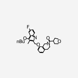 CCCCOc1c(C)c(COc2cccc3c2CN(C(=O)C2CCOCC2)CC3)nc2ccc(F)cc12